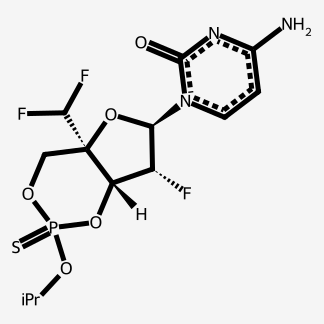 CC(C)OP1(=S)OC[C@@]2(C(F)F)O[C@@H](n3ccc(N)nc3=O)[C@H](F)[C@@H]2O1